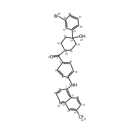 O=C(c1ccc(Nc2ccnc3cc(C(F)(F)F)ccc23)cc1)N1CCC(O)(c2cccc(Br)c2)CC1